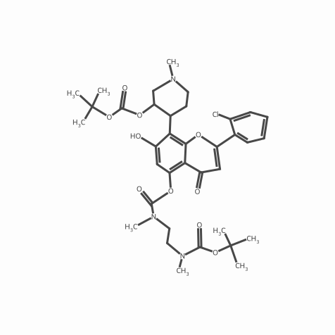 CN1CCC(c2c(O)cc(OC(=O)N(C)CCN(C)C(=O)OC(C)(C)C)c3c(=O)cc(-c4ccccc4Cl)oc23)C(OC(=O)OC(C)(C)C)C1